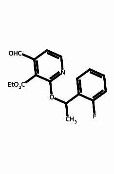 CCOC(=O)c1c(C=O)ccnc1OC(C)c1ccccc1F